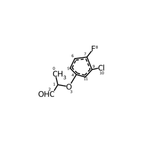 CC(C=O)Oc1ccc(F)c(Cl)c1